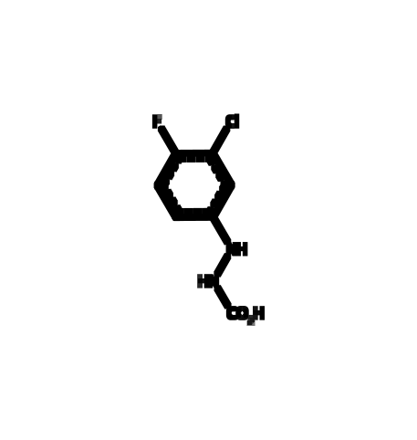 O=C(O)NNc1ccc(F)c(Cl)c1